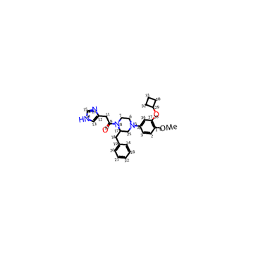 COc1ccc(N2CCN(C(=O)Cc3c[nH]cn3)C(Cc3ccccc3)C2)cc1OC1CCC1